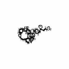 COC/C=C/C(=O)N1CCN(c2nc(=O)n3c4nc(c(F)cc24)-c2c(F)cccc2OCCCc2ccnc(C(C)C)c2-3)[C@@H](C)C1